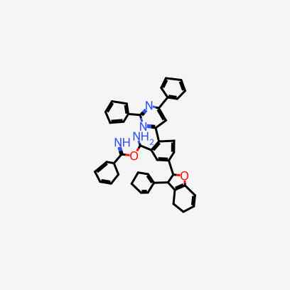 N=C(OC(N)c1cc(C2OC3=C(CCC=C3)C2C2=CCCC=C2)ccc1-c1cc(-c2ccccc2)nc(-c2ccccc2)n1)C1C=CC=CC1